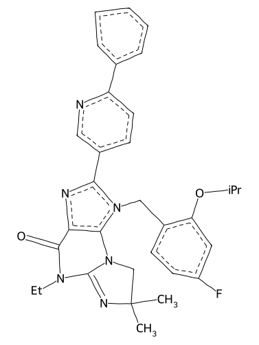 CCN1C(=O)c2nc(-c3ccc(-c4ccccc4)nc3)n(Cc3ccc(F)cc3OC(C)C)c2N2CC(C)(C)N=C12